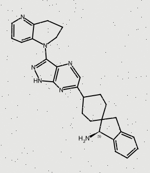 N[C@@H]1c2ccccc2CC12CCC(c1cnc3c(N4CCCc5ncccc54)n[nH]c3n1)CC2